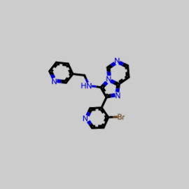 Brc1ccncc1-c1nc2ccncn2c1NCc1cccnc1